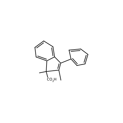 CC1=C(c2ccccc2)c2ccccc2C1(C)C(=O)O